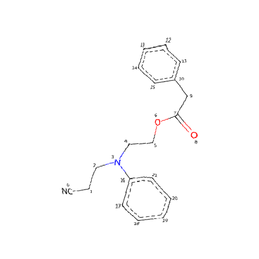 N#CCCN(CCOC(=O)Cc1ccccc1)c1ccccc1